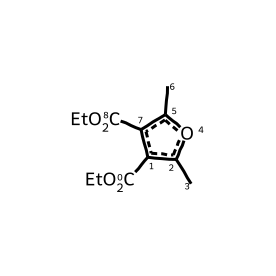 CCOC(=O)c1c(C)oc(C)c1C(=O)OCC